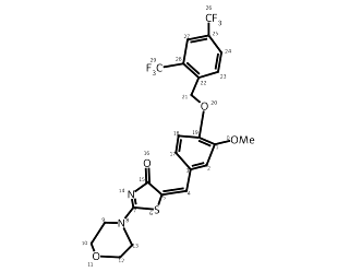 COc1cc(/C=C2/SC(N3CCOCC3)=NC2=O)ccc1OCc1ccc(C(F)(F)F)cc1C(F)(F)F